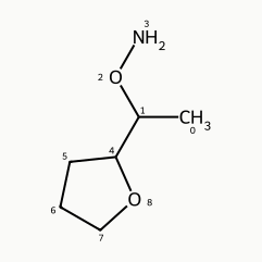 CC(ON)C1CCCO1